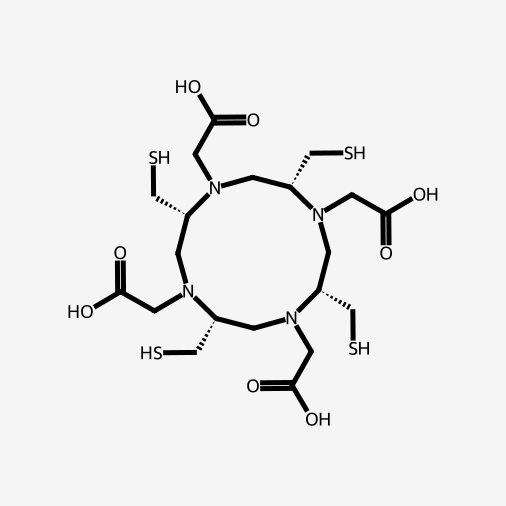 O=C(O)CN1C[C@H](CS)N(CC(=O)O)C[C@H](CS)N(CC(=O)O)C[C@H](CS)N(CC(=O)O)C[C@@H]1CS